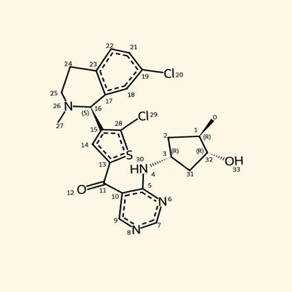 C[C@@H]1C[C@@H](Nc2ncncc2C(=O)c2cc([C@@H]3c4cc(Cl)ccc4CCN3C)c(Cl)s2)C[C@H]1O